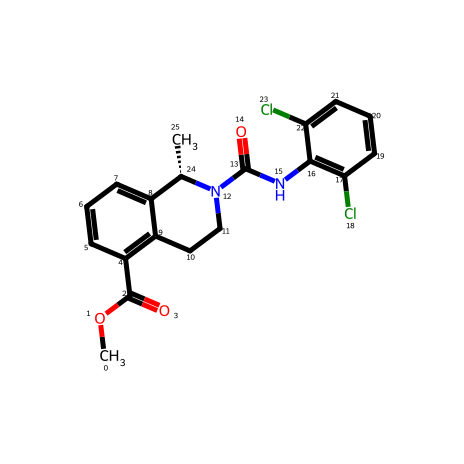 COC(=O)c1cccc2c1CCN(C(=O)Nc1c(Cl)cccc1Cl)[C@H]2C